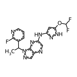 CC(c1cccnc1F)n1ncc2ncc(Nc3cc(OC(F)F)[nH]n3)nc21